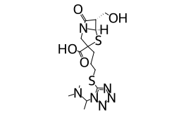 CC(N(C)C)n1nnnc1SCCCC1(C(=O)O)CN2C(=O)[C@H](CO)[C@H]2S1